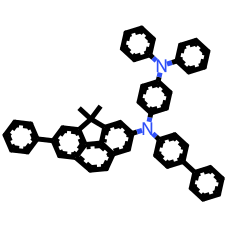 CC1(C)c2cc(-c3ccccc3)cc3ccc4cc(N(c5ccc(-c6ccccc6)cc5)c5ccc(N(c6ccccc6)c6ccccc6)cc5)cc1c4c23